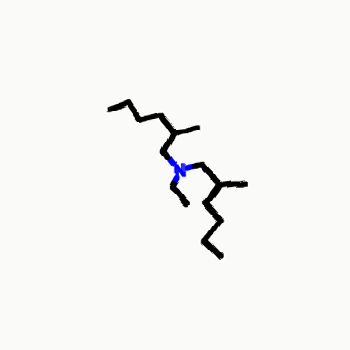 CCCCC(C)CN(CC)CC(C)CCCC